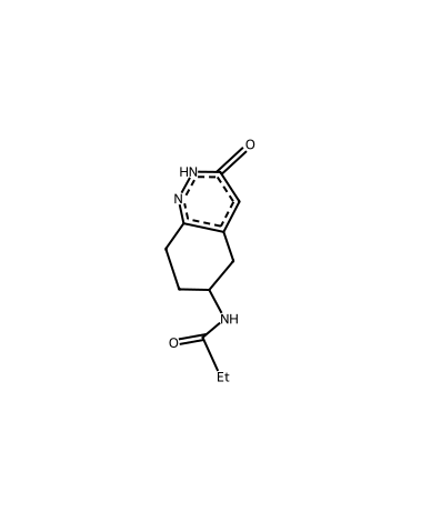 CCC(=O)NC1CCc2n[nH]c(=O)cc2C1